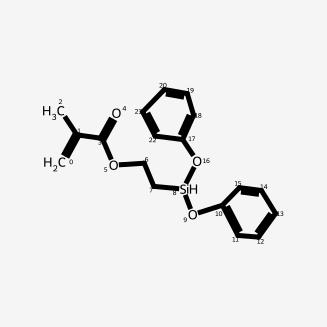 C=C(C)C(=O)OCC[SiH](Oc1ccccc1)Oc1ccccc1